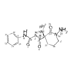 CCCN[C@]1([PH](=O)NC(=O)Nc2ccccc2)CCCN(N)C1=O